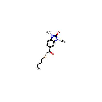 CCCCSCC(=O)c1ccc2c(c1)n(C)c(=O)n2C